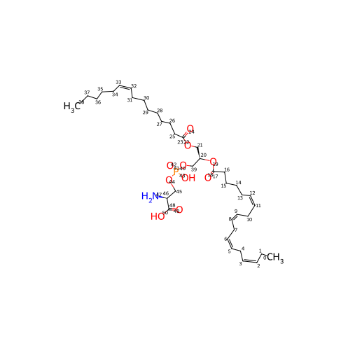 CC/C=C\C/C=C\C/C=C\C/C=C\CCCCC(=O)O[C@H](COC(=O)CCCCCCC/C=C\CCCCC)COP(=O)(O)OC[C@H](N)C(=O)O